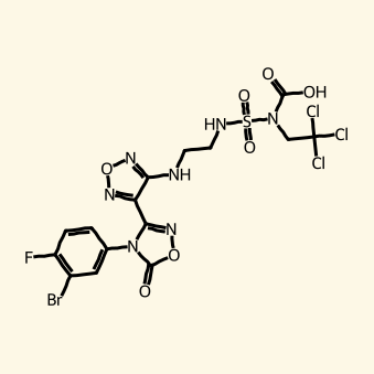 O=C(O)N(CC(Cl)(Cl)Cl)S(=O)(=O)NCCNc1nonc1-c1noc(=O)n1-c1ccc(F)c(Br)c1